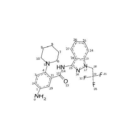 Nc1ccc(N2CCCCC2)c(C(=O)Nc2nn(CC(F)(F)F)c3ccccc23)c1